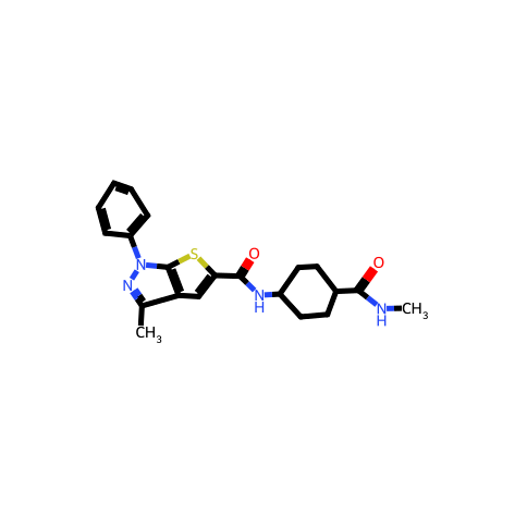 CNC(=O)C1CCC(NC(=O)c2cc3c(C)nn(-c4ccccc4)c3s2)CC1